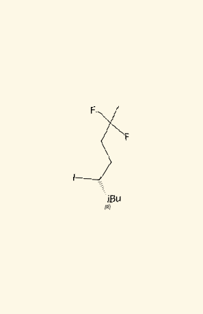 CC[C@@H](C)C(I)CCC(C)(F)F